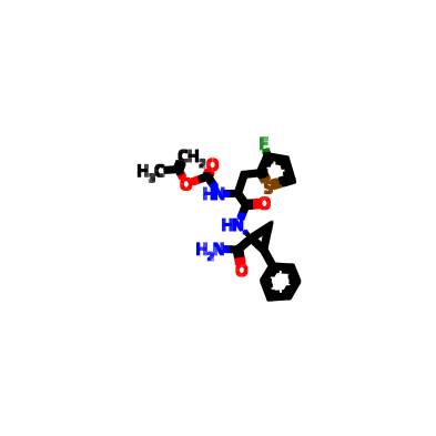 C=C(C)OC(=O)NC(Cc1sccc1F)C(=O)N[C@]1(C(N)=O)CC1c1ccccc1